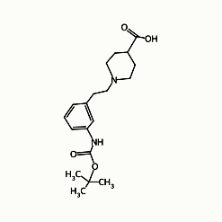 CC(C)(C)OC(=O)Nc1cccc(CCN2CCC(C(=O)O)CC2)c1